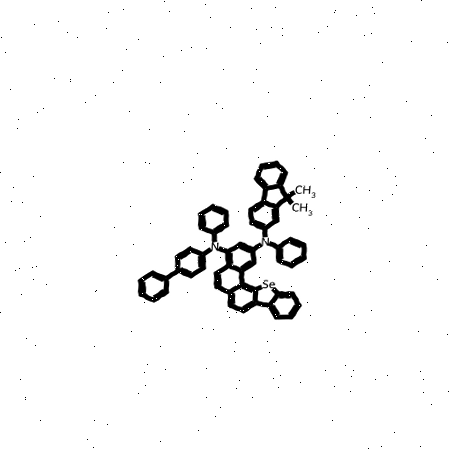 CC1(C)c2ccccc2-c2ccc(N(c3ccccc3)c3cc(N(c4ccccc4)c4ccc(-c5ccccc5)cc4)c4ccc5ccc6c7ccccc7[se]c6c5c4c3)cc21